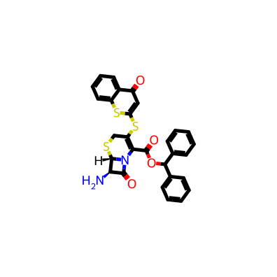 N[C@@H]1C(=O)N2C(C(=O)OC(c3ccccc3)c3ccccc3)=C(Sc3cc(=O)c4ccccc4s3)CS[C@@H]12